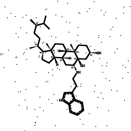 CC(C)[C@H](C)CC[C@@H](C)[C@H]1CC[C@H]2[C@@H]3C[C@@H](NCCc4c[nH]c5ccccc45)[C@@]4(O)C[C@@H](O)CC[C@]4(C)[C@H]3CC[C@]12C